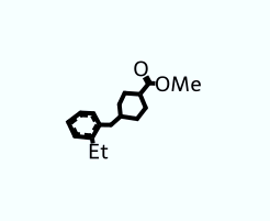 CCc1ccccc1CC1CCC(C(=O)OC)CC1